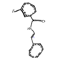 O=C(N/C=C/c1ccccc1)c1cccc(F)c1